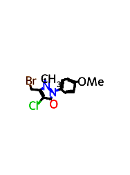 COc1ccc(-n2c(=O)c(Cl)c(CBr)n2C)cc1